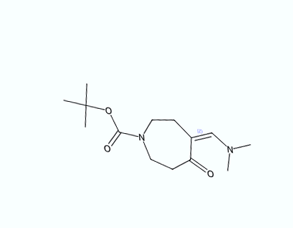 CN(C)/C=C1/CCN(C(=O)OC(C)(C)C)CCC1=O